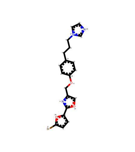 Brc1ccc(-c2nc(COc3ccc(CCCn4ccnc4)cc3)co2)o1